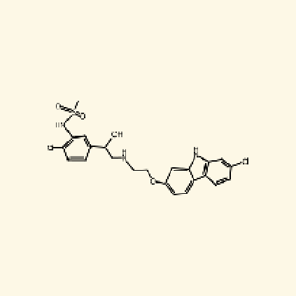 CS(=O)(=O)Nc1cc(C(O)CNCCOc2ccc3c(c2)[nH]c2cc(Cl)ccc23)ccc1Cl